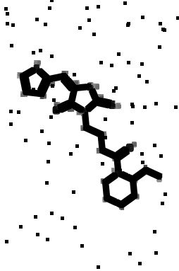 CCC1CCCCN1C(=O)CCCN1C(=O)/C(=C\c2cccs2)SC1=S